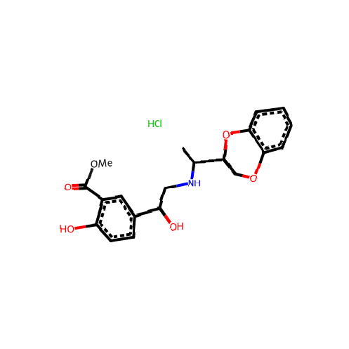 COC(=O)c1cc(C(O)CNC(C)C2COc3ccccc3O2)ccc1O.Cl